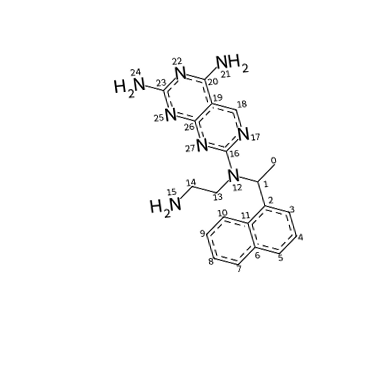 CC(c1cccc2ccccc12)N(CCN)c1ncc2c(N)nc(N)nc2n1